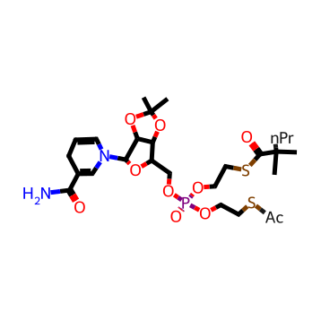 CCCC(C)(C)C(=O)SCCOP(=O)(OCCSC(C)=O)OCC1OC(N2C=CCC(C(N)=O)=C2)C2OC(C)(C)OC12